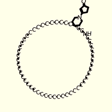 O=C1C=C(N2CCC3(CCCCCCCCCCCCCCCCCCCCCCCCCCCCCCCCCCCCCCCCCCCCCCCCNCC3)CC2)CC1